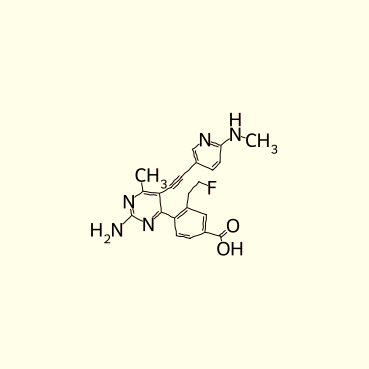 CNc1ccc(C#Cc2c(C)nc(N)nc2-c2ccc(C(=O)O)cc2CCF)cn1